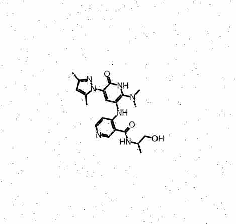 Cc1cc(C)n(-c2cc(Nc3ccncc3C(=O)NC(C)CO)c(N(C)C)[nH]c2=O)n1